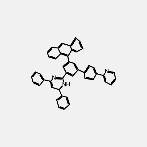 C1=C(c2ccccc2)N=C(c2cc(-c3ccc(-c4ccccn4)cc3)cc(-c3c4ccccc4cc4ccccc34)c2)NC1c1ccccc1